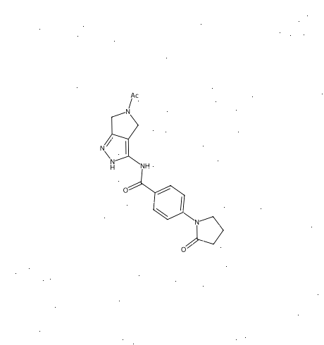 CC(=O)N1Cc2n[nH]c(NC(=O)c3ccc(N4CCCC4=O)cc3)c2C1